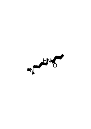 CC=CC(=O)NCCCCN(C)C